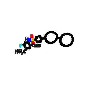 COc1cc(C(=O)O)c(F)cc1NS(=O)(=O)c1ccc(C2CCCCCC(C3CCCCCCCCCCC3)CCCC2)cc1